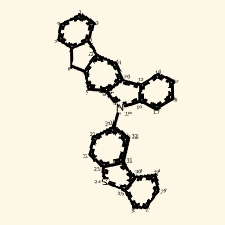 c1ccc2c(c1)Cc1cc3c(cc1-2)c1ccccc1n3-c1ccc2sc3ccccc3c2c1